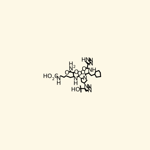 CC(C)(O)c1cnnn1[C@H]1C[C@@H](C(=O)NC(CCCCNC(=O)O)C(=O)C(N)=O)N(C(=O)C(CC2CCCCC2)NC(=O)c2c[nH]nn2)C1